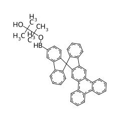 CC(C)(O)C(C)(C)OBc1ccc2c(c1)-c1ccccc1C21c2ccccc2-c2cc3c4ccccc4c4ccccc4c3cc21